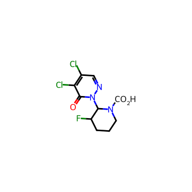 O=C(O)N1CCCC(F)C1n1ncc(Cl)c(Cl)c1=O